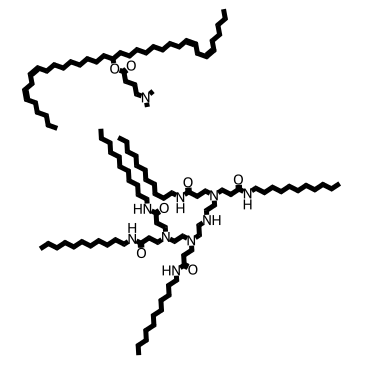 CCCCC/C=C\C/C=C\CCCCCCCCC(CCCCCCCC/C=C\C/C=C\CCCCC)OC(=O)CCCN(C)C.CCCCCCCCCCCNC(=O)CCN(CCNCCN(CCC(=O)NCCCCCCCCCCC)CCN(CCC(=O)NCCCCCCCCCCC)CCC(=O)NCCCCCCCCCCC)CCC(=O)NCCCCCCCCCCC